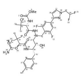 COC(=O)N[C@H](C(=O)NN(Cc1c(F)cc(-c2ccn(CC(F)F)n2)cc1F)C[C@H](O)[C@H](Cc1ccc(I)cc1)NC(=O)[C@@H](OC(N)=O)C(C)(C)C(F)(F)F)C(C)(C)C(F)(F)F